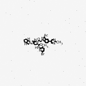 CC(=O)c1nn(CC(=O)N2[C@H](C(=O)Nc3nc(Br)ccc3C)C[C@@]3(CN4C[C@H]5CCC[C@H]5C4)C[C@@H]23)c2ccc(-c3cnc(C)nc3)cc12